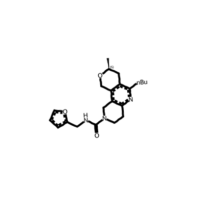 CCCCc1nc2c(c3c1C[C@H](C)OC3)CN(C(=O)NCc1ccco1)CC2